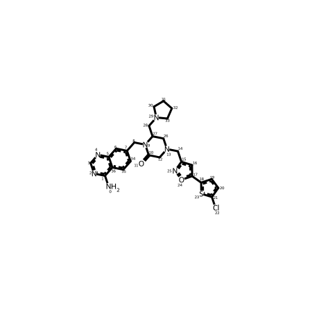 Nc1ncnc2cc(CN3C(=O)CN(Cc4cc(-c5ccc(Cl)s5)on4)CC3CN3CCCC3)ccc12